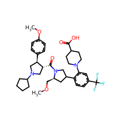 COC[C@@H]1CC(c2ccc(C(F)(F)F)cc2N2CCC(C(=O)O)CC2)CN1C(=O)[C@@H]1CN(C2CCCC2)C[C@H]1c1ccc(OC)cc1